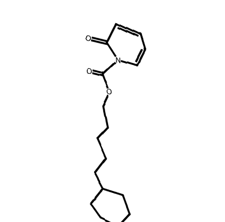 O=C(OCCCCCC1CCCCC1)n1ccccc1=O